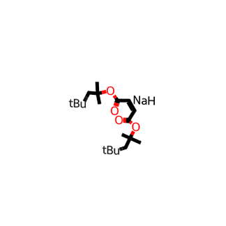 CC(C)(C)CC(C)(C)OC(=O)/C=C\C(=O)OC(C)(C)CC(C)(C)C.[NaH]